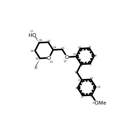 COc1ccc(Cc2ccccc2OCC2C[C@@H](O)C[C@@H](C)O2)cc1